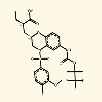 CC[C@H](C[C@H]1CN(S(=O)(=O)c2ccc(F)c(OC)c2)c2cc(NC(=O)OC(C)(C)C(F)(F)F)ccc2O1)C(=O)O